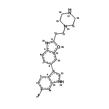 Fc1ccc2c(-c3ccc4nc(CCN5CCNCC5)oc4c3)c[nH]c2c1